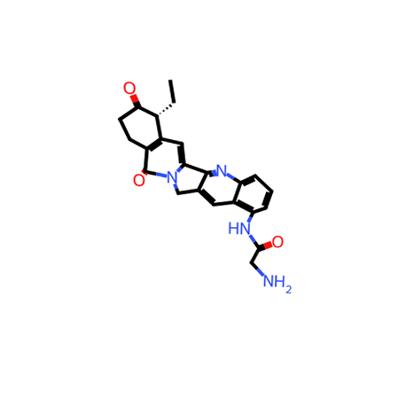 CC[C@H]1C(=O)CCc2c1cc1n(c2=O)Cc2cc3c(NC(=O)CN)cccc3nc2-1